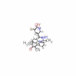 CC1N=C2C(=CC[C@H]3[C@H](C)C(=O)C(C#N)=C[C@]23c2ccccc2)C(c2cnc(O)c(Br)c2)N1